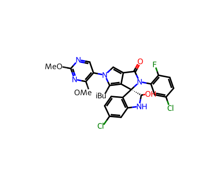 CCC(C)c1c2c(cn1-c1cnc(OC)nc1OC)C(=O)N(c1cc(Cl)ccc1F)[C@@]21c2ccc(Cl)cc2NC1O